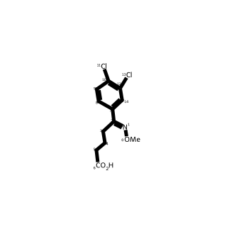 CON=C(CCCC(=O)O)c1ccc(Cl)c(Cl)c1